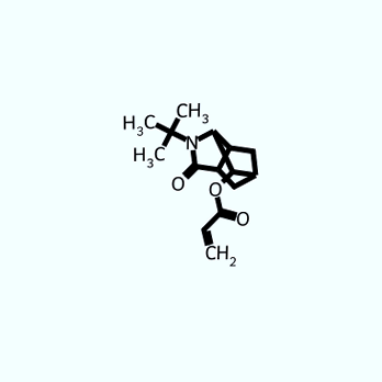 C=CC(=O)OC1C2CC3C(=O)N(C(C)(C)C)C1C3C2